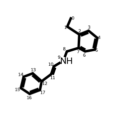 CCc1ccccc1CNC=Cc1ccccc1